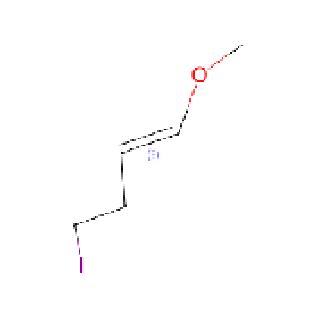 CO/C=C/CCI